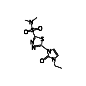 CCn1ccn(-c2nnc(S(=O)(=O)N(C)C)s2)c1=O